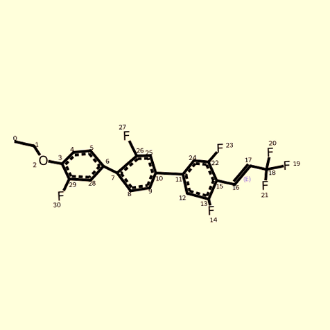 CCOc1ccc(-c2ccc(-c3cc(F)c(/C=C/C(F)(F)F)c(F)c3)cc2F)cc1F